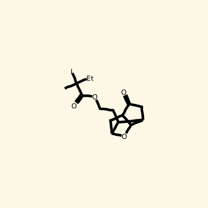 CCC(C)(I)C(=O)OCCC1C2CC3C(=O)CC1C3O2